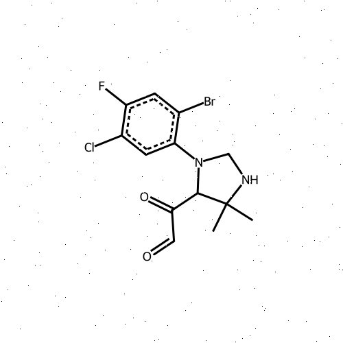 CC1(C)NCN(c2cc(Cl)c(F)cc2Br)C1C(=O)C=O